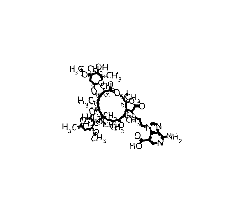 CO[C@@H]1C[C@@H](C)O[C@@H](O[C@@H]2[C@@H](C)[C@H](O[C@H]3C[C@@](C)(OC)[C@@H](O)[C@H](C)O3)[C@@H](C)C(=O)O[C@H](I)[C@@]3(C)OC(=O)C(SCCn4cnc5c(N)ncc(C(=O)O)c54)[C@@H]3[C@@H](C)C(=O)[C@H](C)C[C@@]2(C)OC)[C@H]1N(C)C